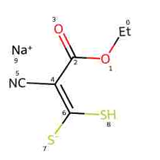 CCOC(=O)C(C#N)=C([S-])S.[Na+]